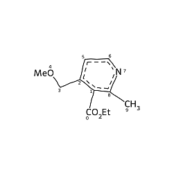 CCOC(=O)c1c(COC)ccnc1C